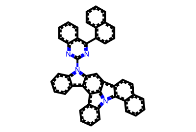 c1ccc2c(-c3nc(-n4c5ccccc5c5c6c7ccccc7n7c8c9ccccc9ccc8c(cc54)c67)nc4ccccc34)cccc2c1